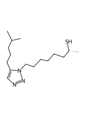 CC(C)CCCc1cnnn1CCCCCC[C@@H](C)S